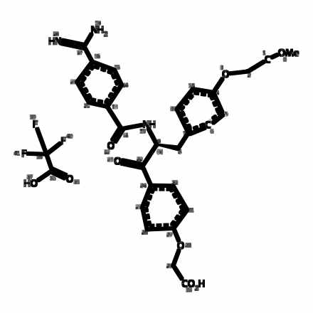 COCCOc1ccc(C[C@H](NC(=O)c2ccc(C(=N)N)cc2)C(=O)c2ccc(OCC(=O)O)cc2)cc1.O=C(O)C(F)(F)F